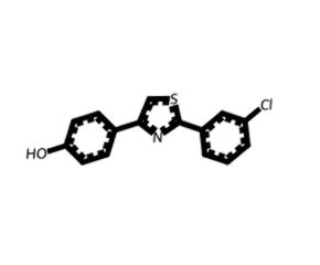 Oc1ccc(-c2csc(-c3cccc(Cl)c3)n2)cc1